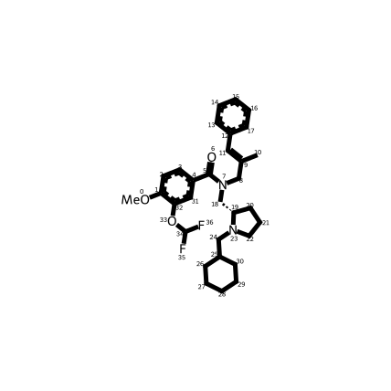 COc1ccc(C(=O)N(CC(C)=Cc2ccccc2)C[C@@H]2CCCN2CC2CCCCC2)cc1OC(F)F